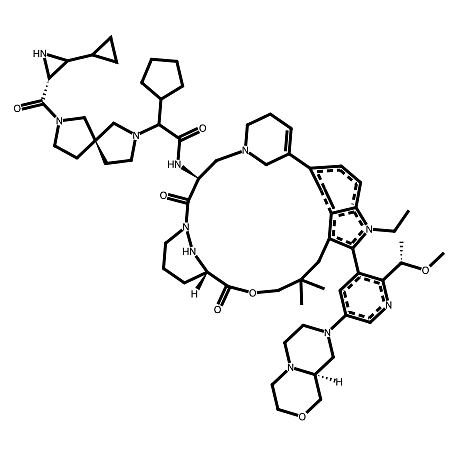 CCn1c(-c2cc(N3CCN4CCOC[C@@H]4C3)cnc2[C@H](C)OC)c2c3cc(ccc31)C1=CCCN(C1)C[C@H](NC(=O)C(C1CCCC1)N1CC[C@]3(CCN(C(=O)[C@@H]4NC4C4CC4)C3)C1)C(=O)N1CCC[C@H](N1)C(=O)OCC(C)(C)C2